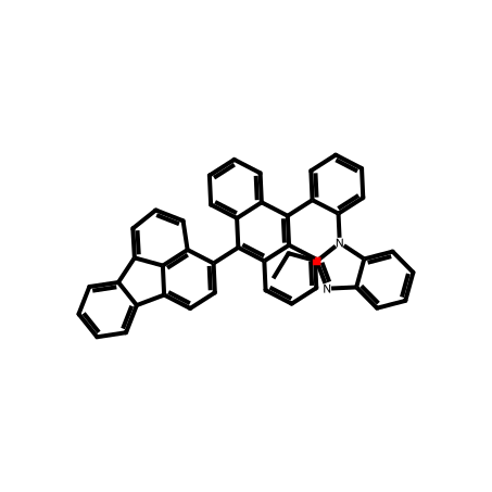 CCc1nc2ccccc2n1-c1ccccc1-c1c2ccccc2c(-c2ccc3c4c(cccc24)-c2ccccc2-3)c2ccccc12